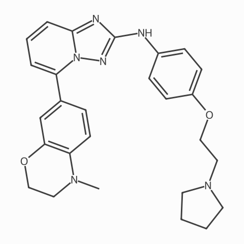 CN1CCOc2cc(-c3cccc4nc(Nc5ccc(OCCN6CCCC6)cc5)nn34)ccc21